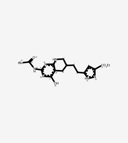 CCOC(=O)c1cc(CCC2CNc3nc(NC(=O)C(C)(C)C)nc(O)c3C2)[nH]n1